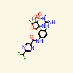 C[C@H]1OC[C@]2(c3cc(NC(=O)c4cnc(C(F)F)cn4)ccc3F)NC(=N)N(C)S(=O)(=O)[C@H]12